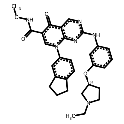 CCN1CC[C@H](Oc2cccc(Nc3ncc4c(=O)c(C(=O)NOC)cn(-c5ccc6c(c5)CCC6)c4n3)c2)C1